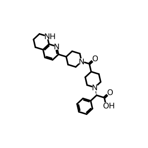 O=C(O)[C@H](c1ccccc1)N1CCC(C(=O)N2CCC(c3ccc4c(n3)NCCC4)CC2)CC1